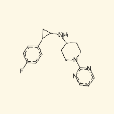 Fc1ccc(C2CC2NC2CCN(c3ncccn3)CC2)cc1